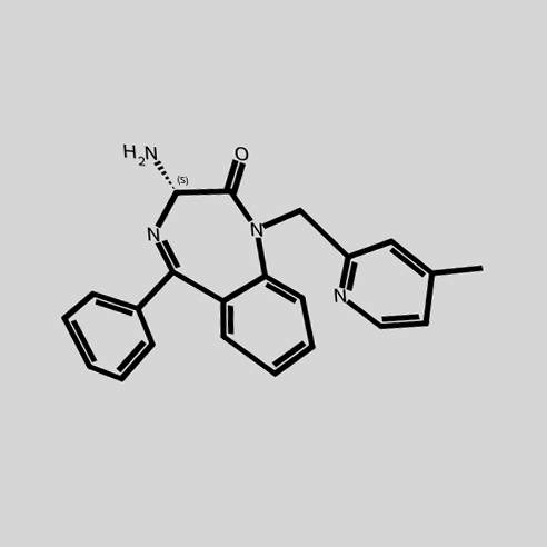 Cc1ccnc(CN2C(=O)[C@@H](N)N=C(c3ccccc3)c3ccccc32)c1